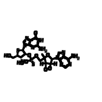 CC1(COP(O)(=S)O[C@@H]2[C@H](O)[C@@H](CO)S[C@H]2n2cnc3c(=O)[nH]c(N)nc32)O[C@@H](n2cnc3c(N)ncnc32)[C@@H]2OO[C@@H]21